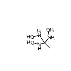 CC(NO)(NO)NO